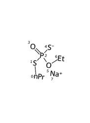 CCCSP(=O)([S-])OCC.[Na+]